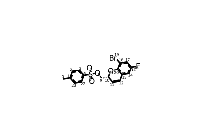 Cc1ccc(S(=O)(=O)OC[C@H]2C=Cc3cc(F)cc(Br)c3O2)cc1